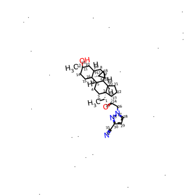 CC[C@]12CC[C@H]3[C@@H](CC[C@@H]4C[C@](C)(O)CC[C@@]43C3CC3)[C@@H]1CC[C@@H]2C(=O)Cn1ccc(C#N)n1